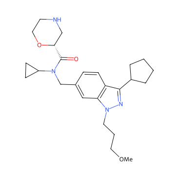 COCCCn1nc(C2CCCC2)c2ccc(CN(C(=O)[C@H]3CNCCO3)C3CC3)cc21